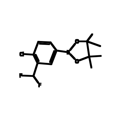 CC1(C)OB(c2ccc(Cl)c(C(F)F)c2)OC1(C)C